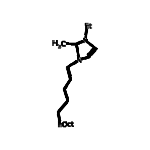 CCCCCCCCCCCCCN1C=CN(CC)C1C